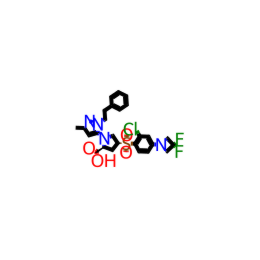 Cc1cc(N2C[C@H](S(=O)(=O)c3ccc(N4CC(F)(F)C4)cc3Cl)C[C@H]2C(=O)O)n(CCc2ccccc2)n1